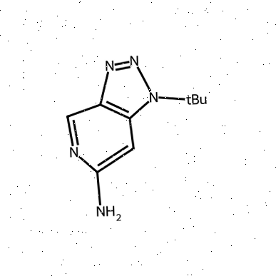 CC(C)(C)n1nnc2cnc(N)cc21